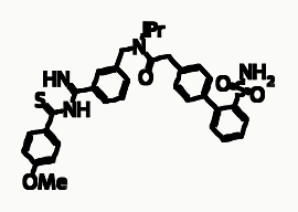 COc1ccc(C(=S)NC(=N)c2cccc(CN(C(=O)Cc3ccc(-c4ccccc4S(N)(=O)=O)cc3)C(C)C)c2)cc1